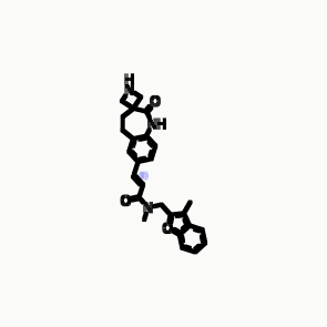 Cc1c(CN(C)C(=O)/C=C/c2ccc3c(c2)CCC2(CNC2)C(=O)N3)oc2ccccc12